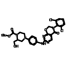 CC(C)(C)OC(=O)N1CCN(c2ccc(Nc3ncc4c(n3)OCN(c3c(Cl)cccc3Cl)C4=O)cc2)CC1CO